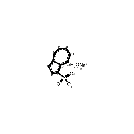 O.O=S(=O)([O-])c1ccc2cccccc1-2.[Na+]